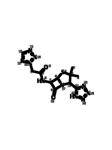 CC1(C)SC2C(NC(=O)Cn3ncnn3)C(=O)N2C1c1nnn[nH]1